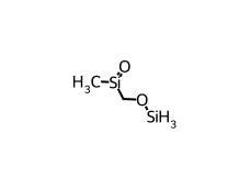 C[Si](=O)CO[SiH3]